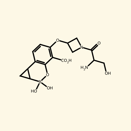 NC(CO)C(=O)N1CC(Oc2ccc3c(c2C(=O)O)O[B-](O)(O)C2CC32)C1